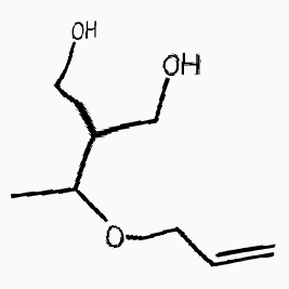 C=CCOC(C)C(CO)CO